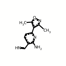 Cc1noc(C)c1-c1ccc(C=N)c(N)n1